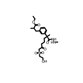 CCOC(=O)C(C)Cc1cccc(C(C)(CCCC(=O)CS(=O)(=O)CCO)C(=O)NNC)c1